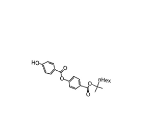 CCCCCCC(C)(C)OC(=O)c1ccc(OC(=O)c2ccc(O)cc2)cc1